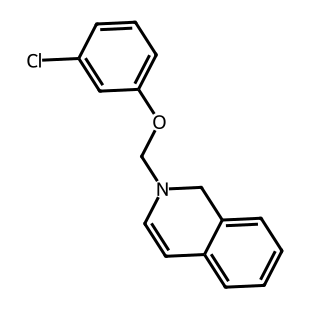 Clc1cccc(OCN2C=Cc3ccccc3C2)c1